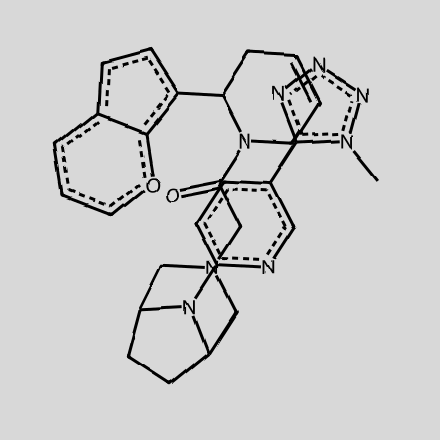 Cn1nnnc1-c1ccc(N2C3CCC2CN(CC(=O)N2CC=CCC2c2ccc4cccoc2-4)C3)nc1